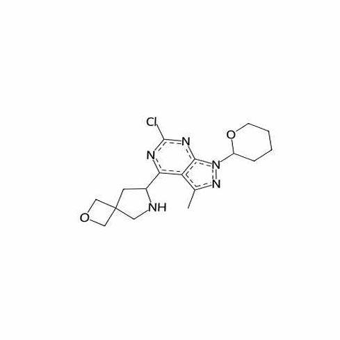 Cc1nn(C2CCCCO2)c2nc(Cl)nc(C3CC4(CN3)COC4)c12